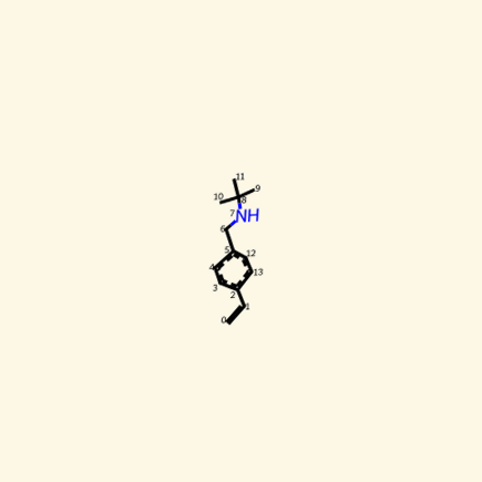 C=Cc1ccc(CNC(C)(C)C)cc1